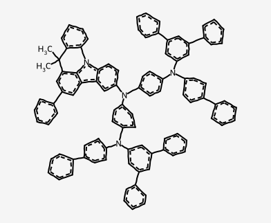 CC1(C)c2ccccc2-n2c3ccc(N(c4ccc(N(c5ccc(-c6ccccc6)cc5)c5cc(-c6ccccc6)cc(-c6ccccc6)c5)cc4)c4ccc(N(c5ccc(-c6ccccc6)cc5)c5cc(-c6ccccc6)cc(-c6ccccc6)c5)cc4)cc3c3cc(-c4ccccc4)cc1c32